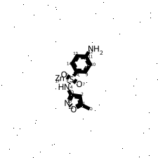 Cc1cc(NS(=O)(=O)c2ccc(N)cc2)no1.[Zn]